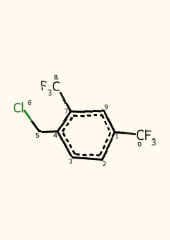 FC(F)(F)c1ccc(CCl)c(C(F)(F)F)c1